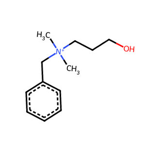 C[N+](C)(CCCO)Cc1ccccc1